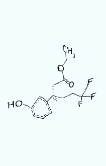 CCOC(=O)C[C@H](CCC(F)(F)F)c1cccc(O)c1